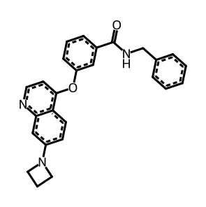 O=C(NCc1ccccc1)c1cccc(Oc2ccnc3cc(N4CCC4)ccc23)c1